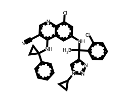 BC(Nc1cc(Cl)c2ncc(C#N)c(NC3(c4ccccc4)CC3)c2c1)(c1cn(C2CC2)nn1)c1ccccc1Cl